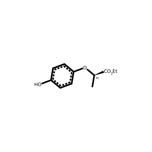 CCOC(=O)[C@@H](C)Oc1ccc(O)cc1